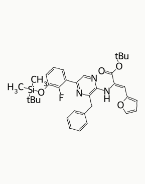 CC(C)(C)OC(=O)/C(=C/c1ccco1)Nc1ncc(-c2cccc(O[Si](C)(C)C(C)(C)C)c2F)nc1Cc1ccccc1